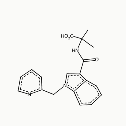 CC(C)(NC(=O)c1cn(Cc2ccccn2)c2ccccc12)C(=O)O